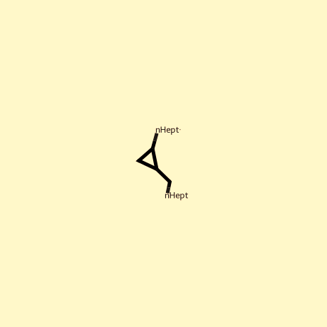 CCCCCC[CH]C1CC1CCCCCCCC